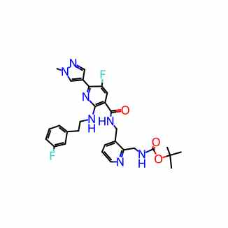 Cn1cc(-c2nc(NCCc3cccc(F)c3)c(C(=O)NCc3cccnc3CNC(=O)OC(C)(C)C)cc2F)cn1